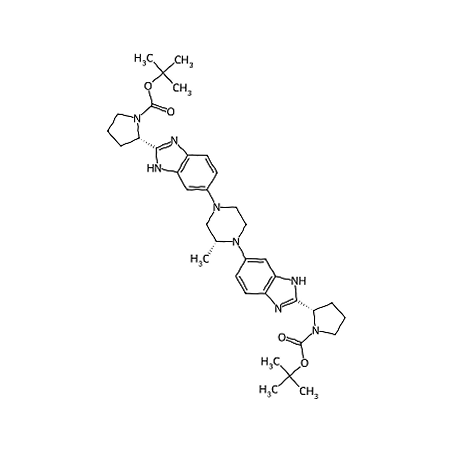 C[C@@H]1CN(c2ccc3nc([C@@H]4CCCN4C(=O)OC(C)(C)C)[nH]c3c2)CCN1c1ccc2nc([C@@H]3CCCN3C(=O)OC(C)(C)C)[nH]c2c1